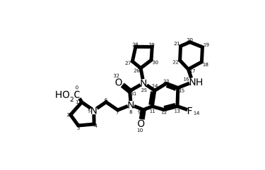 O=C(O)C1CCCN1CCn1c(=O)c2cc(F)c(NC3CCCCC3)cc2n(C2CCCC2)c1=O